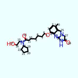 Cc1ccc(OCCCCCCC(=O)N(CCO)C2CCCC2)c2c1CN1CC(=O)NC1=N2